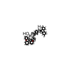 Cc1ccc(-c2ccccc2C(=O)Nc2ccc(N(CCn3nccc3NC(c3ccccc3)(c3ccccc3)c3ccccc3)C(=O)O)nc2)cc1